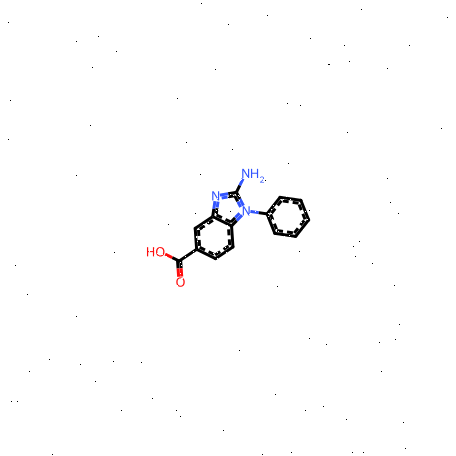 Nc1nc2cc(C(=O)O)ccc2n1-c1ccccc1